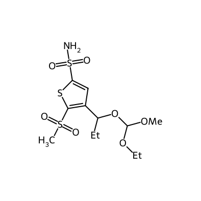 CCOC(OC)OC(CC)c1cc(S(N)(=O)=O)sc1S(C)(=O)=O